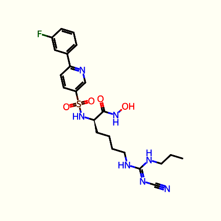 CCCN/C(=N\C#N)NCCCC[C@@H](NS(=O)(=O)c1ccc(-c2cccc(F)c2)nc1)C(=O)NO